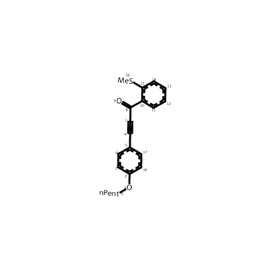 CCCCCOc1ccc(C#CC(=O)c2ccccc2SC)cc1